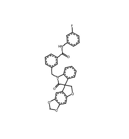 O=C(Nc1cccc(F)c1)c1cccc(CN2C(=O)C3(COc4cc5c(cc43)OCO5)c3ccccc32)c1